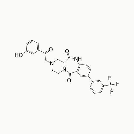 O=C(CN1CCN2C(=O)c3cc(-c4cccc(C(F)(F)F)c4)ccc3NC(=O)C2C1)c1cccc(O)c1